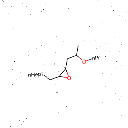 CCCCCCCCC1OC1CC(C)OCCC